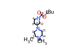 C[C@@H]1CN([C@@H]2CCN(C(=O)OC(C)(C)C)C2)CCN1C